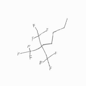 CCCCC(C(F)(F)F)(C(F)(F)F)C(F)(F)F